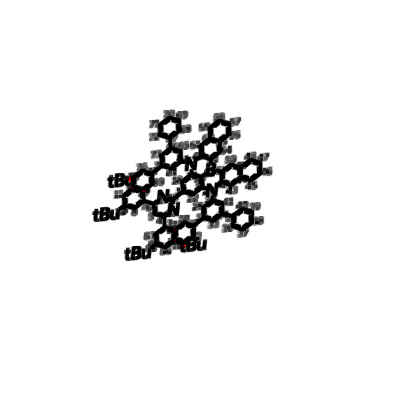 CC(C)(C)c1cc(-c2cc(-c3cc(C(C)(C)C)cc(C(C)(C)C)c3)nc(-c3cc4c5c(c3)N(c3cc(-c6ccccc6)cc(-c6ccccc6)c3)c3cc6ccccc6cc3B5c3cc5ccccc5cc3N4c3cc(-c4ccccc4)cc(-c4ccccc4)c3)n2)cc(C(C)(C)C)c1